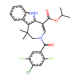 CC(C)OC(=O)C1=CN(C(=O)c2cc(F)c(Cl)cc2F)CC(C)(C)c2c1[nH]c1ccccc21